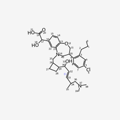 CCCc1cc(Cl)ccc1C1COc2ccc(C(O)C(=O)O)cc2N(CC2CCC2C(O)/C=C/C(C)CN(C)C)C1